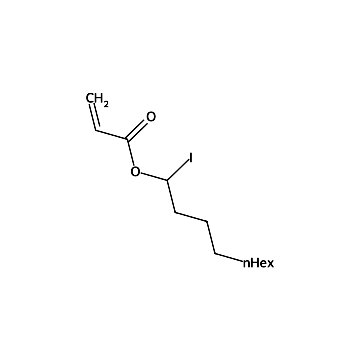 C=CC(=O)OC(I)CCCCCCCCC